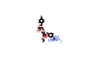 CCCOCC(C)(COC(=O)C(C)(CC)OCc1ccc(C)cc1)C(=O)OC1CCC(NC(=N)N)CC1